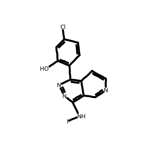 Oc1cc(Cl)ccc1-c1nnc(NI)c2cnccc12